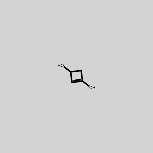 OC1=CC(O)C1